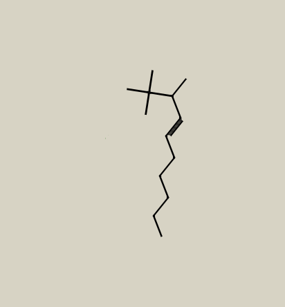 CCCCCC=CC(C)C(C)(C)C.Cl